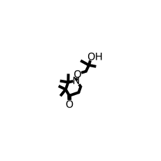 CC(C)(O)CON1CCC(=O)C(C)(C)C1(C)C